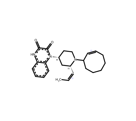 C/C=C\[C@@H]1C[C@H](n2c(=O)c(=O)[nH]c3ccccc32)CCN1C1/C=C\CCCCC1